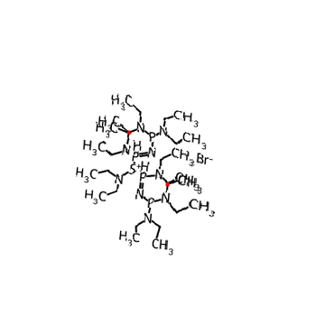 CCN(CC)P(/N=[PH](\N(CC)CC)[S+](N(CC)CC)/[PH](=N/P(N(CC)CC)N(CC)CC)N(CC)CC)N(CC)CC.[Br-]